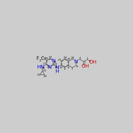 OCC(O)CN1CCc2cc(Nc3ncc(C(F)(F)F)c(NC4CC4)n3)ccc2C1